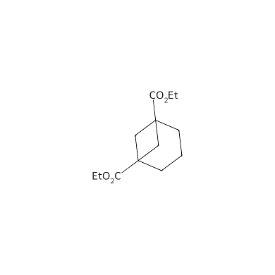 CCOC(=O)C12CCCC(C(=O)OCC)(C1)C2